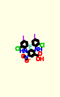 O=C(O)c1cc([N+](=O)[O-])c(Nc2ccc(I)cc2Cl)c(F)c1Nc1ccc(I)cc1Cl